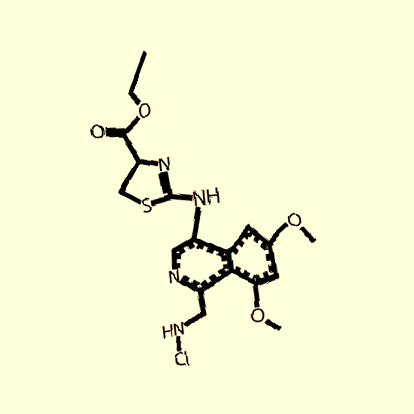 CCOC(=O)C1CSC(Nc2cnc(CNCl)c3c(OC)cc(OC)cc23)=N1